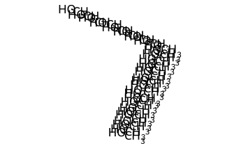 CO.CO.CO.CO.CO.CO.CO.CO.CO.CO.CO.CO.CO.CO.CO.CO.CO.CO.CO.CO.CO.CO.CO.CO.CO.CO.CO.CO.CO